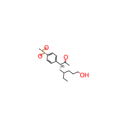 CCC(CCCO)C[C@@H](C(C)=O)c1ccc(S(C)(=O)=O)cc1